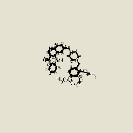 COc1ccc(CN2CCN(Cc3ccc4ncc([C]=O)c(Nc5ccccc5)c4c3)CC2)c(OC)c1OC